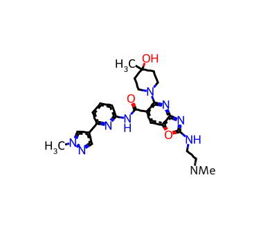 CNCCNc1nc2nc(N3CCC(C)(O)CC3)c(C(=O)Nc3cccc(-c4cnn(C)c4)n3)cc2o1